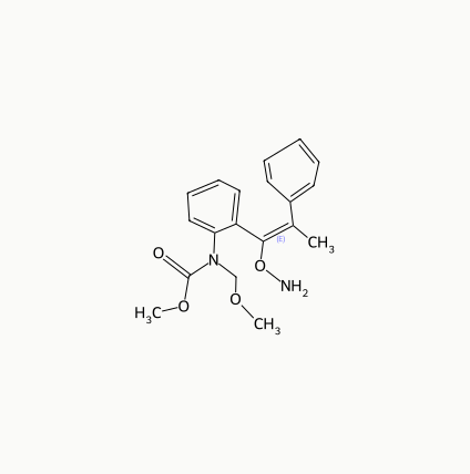 COCN(C(=O)OC)c1ccccc1/C(ON)=C(/C)c1ccccc1